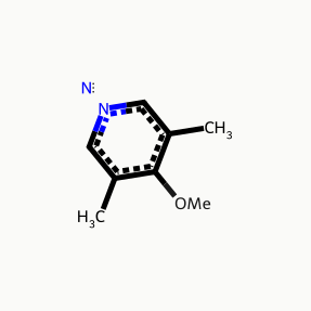 COc1c(C)cncc1C.[N]